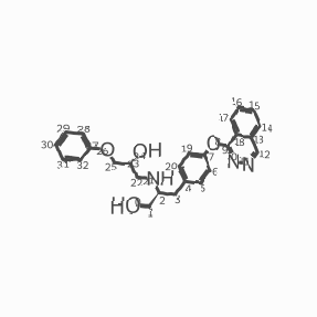 OC[C@H](Cc1ccc(Oc2nncc3ccccc23)cc1)NC[C@H](O)COc1ccccc1